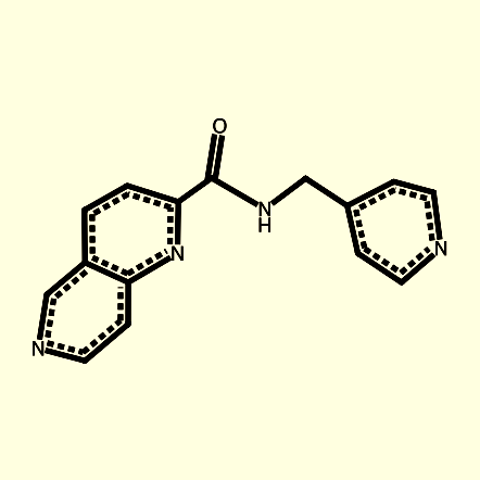 O=C(NCc1ccncc1)c1ccc2cnccc2n1